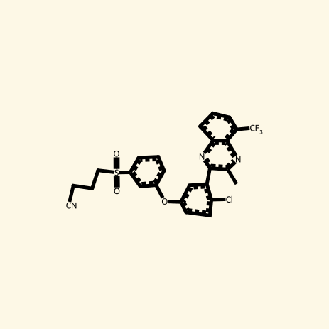 Cc1nc2c(C(F)(F)F)cccc2nc1-c1cc(Oc2cccc(S(=O)(=O)CCCC#N)c2)ccc1Cl